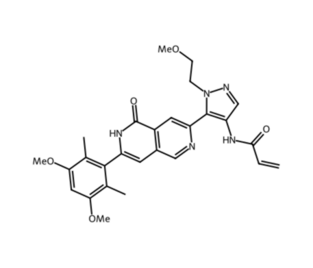 C=CC(=O)Nc1cnn(CCOC)c1-c1cc2c(=O)[nH]c(-c3c(C)c(OC)cc(OC)c3C)cc2cn1